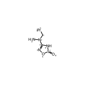 CC(C)CN(N)C1=NOS(=O)N1